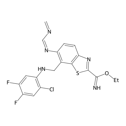 C=N/C=N\c1ccc2nc(C(=N)OCC)sc2c1CNc1cc(F)c(F)cc1Cl